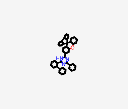 c1ccc(C2=NC(c3ccc4c(c3)Oc3ccccc3C43c4ccccc4-c4ccccc43)NC(c3ccccc3-c3ccccc3)=N2)cc1